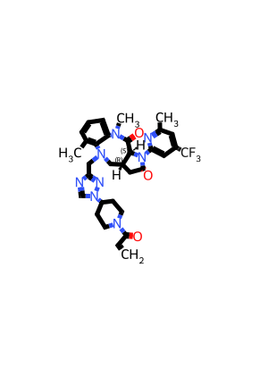 C=CC(=O)N1CCC(n2cnc(CN3C[C@H]4CC(=O)N(c5cc(C(F)(F)F)cc(C)n5)[C@@H]4C(=O)N(C)c4cccc(C)c43)n2)CC1